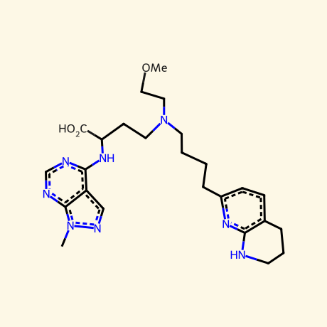 COCCN(CCCCc1ccc2c(n1)NCCC2)CCC(Nc1ncnc2c1cnn2C)C(=O)O